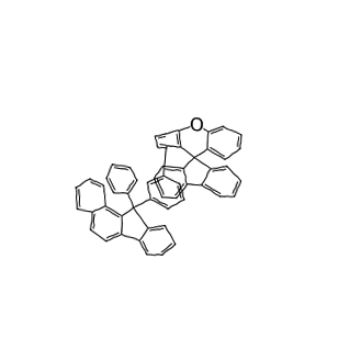 c1ccc(C2(c3cccc(-c4cccc5c4C4(c6ccccc6O5)c5ccccc5-c5ccccc54)c3)c3ccccc3-c3ccc4ccccc4c32)cc1